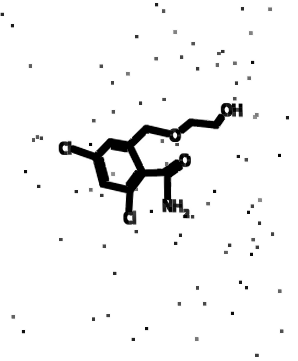 NC(=O)c1c(Cl)cc(Cl)cc1COCCO